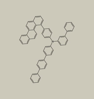 c1ccc(-c2ccc(-c3ccc(N(c4ccc(-c5cccc6ccc7c8ccccc8ccc7c56)cc4)c4cccc(-c5ccccc5)c4)cc3)cc2)cc1